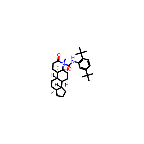 CC(C)(C)c1ccc(C(C)(C)C)c(NC(=O)[N+]2(C)C(=O)CC[C@@]3(C)[C@H]2CC[C@H]2[C@@H]4CCC[C@@]4(C)CC[C@@H]23)c1